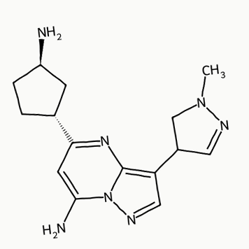 CN1CC(c2cnn3c(N)cc([C@@H]4CC[C@@H](N)C4)nc23)C=N1